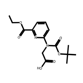 CCOC(=O)c1cccc(N(CC(=O)O)C(=O)OC(C)(C)C)n1